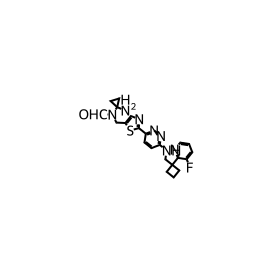 NC1(N(C=O)Cc2cnc(-c3ccc(NCC4(c5ncccc5F)CCC4)nn3)s2)CC1